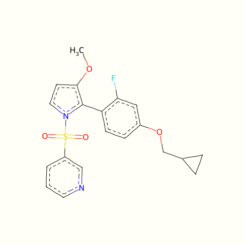 COc1ccn(S(=O)(=O)c2cccnc2)c1-c1ccc(OCC2CC2)cc1F